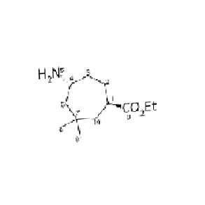 CCOC(=O)[C@@H]1CC[C@@H](N)CC(C)(C)C1